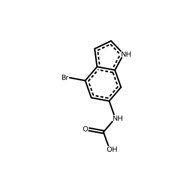 O=C(O)Nc1cc(Br)c2cc[nH]c2c1